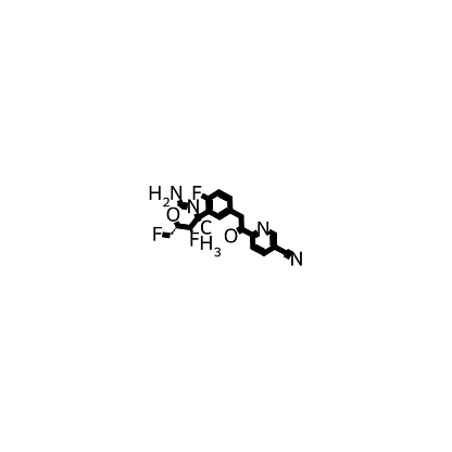 C[C@]1(c2cc(CC(=O)c3ccc(C#N)cn3)ccc2F)N=C(N)O[C@@H](CF)[C@@H]1F